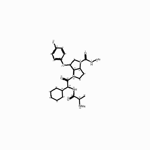 CCCNC(=O)N1CC(Oc2ccc(F)cc2)C2C1CCN2C(=O)C(NC(=O)C(C)NC)C1CCCCC1